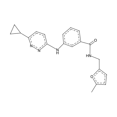 Cc1ccc(CNC(=O)c2cccc(Nc3ccc(C4CC4)nn3)c2)o1